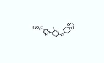 CCOC(=O)c1cnn(-c2ccc(OC3CCC4(CC3)OCCO4)cc2C)c1